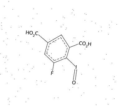 O=Ic1c(F)cc(C(=O)O)cc1C(=O)O